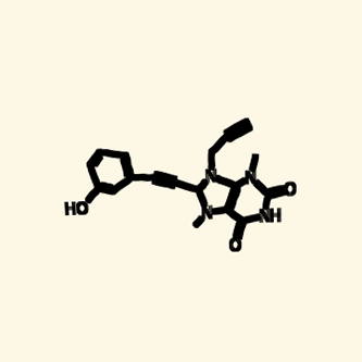 C#CCN1c2c(c(=O)[nH]c(=O)n2C)N(C)C1C#Cc1cccc(O)c1